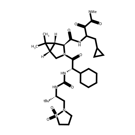 CNC(=O)C(=O)C(CC1CC1)NC(=O)[C@@H]1[C@@H]2[C@H](CN1C(=O)[C@@H](NC(=O)N[C@H](CN1CCCS1(=O)=O)C(C)(C)C)C1CCCCC1)C2(C)C